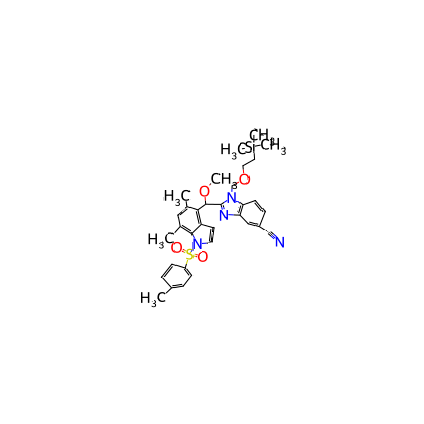 COC(c1c(C)cc(C)c2c1ccn2S(=O)(=O)c1ccc(C)cc1)c1nc2cc(C#N)ccc2n1COCC[Si](C)(C)C